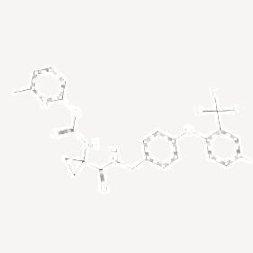 COc1ccc(Oc2ccc(CNC(=O)C3(NC(=O)Oc4cccc(C)n4)CC3)cc2)c(C(F)(F)F)c1